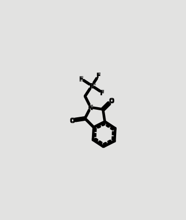 O=C1c2ccccc2C(=O)N1C[B-](F)(F)F